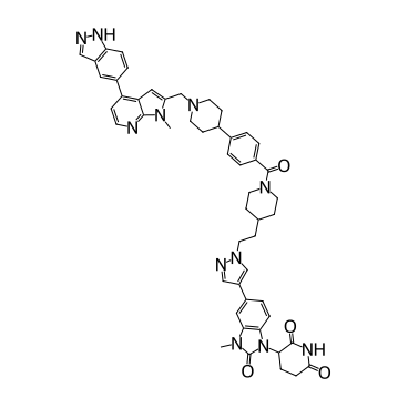 Cn1c(CN2CCC(c3ccc(C(=O)N4CCC(CCn5cc(-c6ccc7c(c6)n(C)c(=O)n7C6CCC(=O)NC6=O)cn5)CC4)cc3)CC2)cc2c(-c3ccc4[nH]ncc4c3)ccnc21